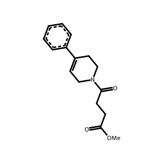 COC(=O)CCC(=O)N1CC=C(c2ccccc2)CC1